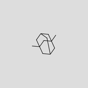 CC12[CH]C3(C)CC(CC(C1)C3)C2